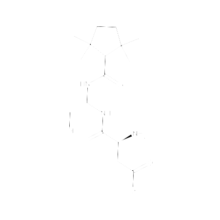 CC1(C)CCC(C)(C)C1C(=O)N[C@@H](CO)NC(=O)[C@@H](N)CC(=O)O